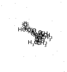 CC(C)(C)OC(=O)[C@@H]1C[C@H](OC(=O)c2ccc(C(O)c3ccccc3)cc2)CN1C(=O)OC(C)(C)C